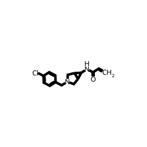 C=CC(=O)NC1C2CN(Cc3ccc(Cl)cc3)CC21